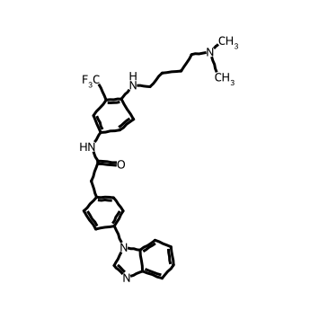 CN(C)CCCCNc1ccc(NC(=O)Cc2ccc(-n3cnc4ccccc43)cc2)cc1C(F)(F)F